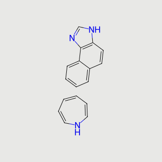 C1=CC=CNC=C1.c1ccc2c(c1)ccc1[nH]cnc12